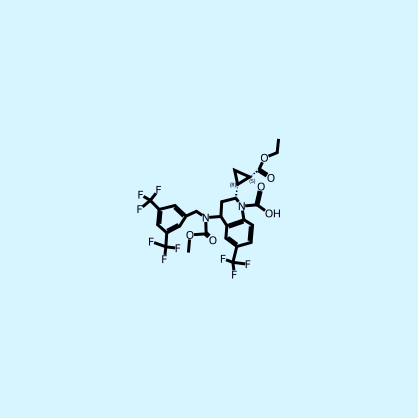 CCOC(=O)[C@H]1C[C@H]1C1CC(N(Cc2cc(C(F)(F)F)cc(C(F)(F)F)c2)C(=O)OC)c2cc(C(F)(F)F)ccc2N1C(=O)O